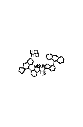 CCCCC1=Cc2c(-c3c4ccccc4cc4ccccc34)cccc2[CH]1[Hf]1([CH]2C(CCCC)=Cc3c(-c4c5ccccc5cc5ccccc45)cccc32)[CH2][CH2]1.Cl.Cl